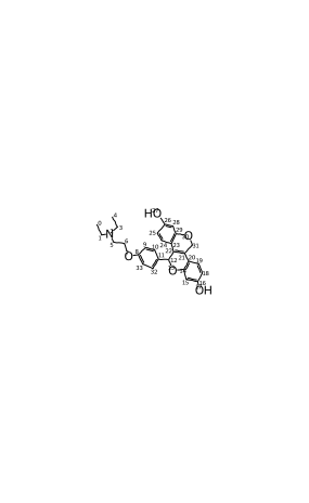 CCN(CC)CCOc1ccc(C2Oc3cc(O)ccc3C3=C2c2ccc(O)cc2OC3)cc1